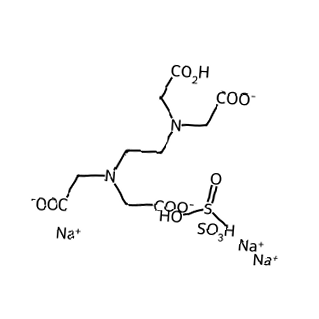 O=C([O-])CN(CCN(CC(=O)[O-])CC(=O)O)CC(=O)[O-].O=S(O)S(=O)(=O)O.[Na+].[Na+].[Na+]